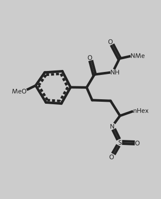 CCCCCCC(CCC(C(=O)NC(=O)NC)c1ccc(OC)cc1)N=S(=O)=O